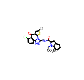 CCOC(=O)Cn1c(C(=O)NCc2nnc(CC)n2-c2sc(CC)cc2C(=O)c2ccccc2Cl)cc2ccccc21